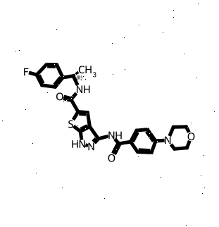 C[C@@H](NC(=O)c1cc2c(NC(=O)c3ccc(N4CCOCC4)cc3)n[nH]c2s1)c1ccc(F)cc1